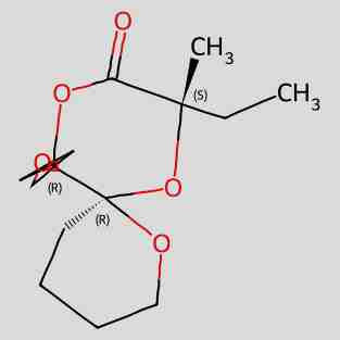 CC[C@]1(C)O[C@]2(CCCCO2)[C@@]2(CCCCO2)OC1=O